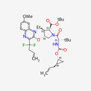 C=CC[C@@H]1C[C@H]1OC(=O)N[C@H](C(=O)N1C[C@H](Oc2nc3cc(OC)ccc3nc2C(F)(F)CC=C)[C@@H](CC)[C@H]1C(=O)OC(C)(C)C)C(C)(C)C